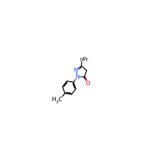 CCCC1=NN(c2ccc(C)cc2)C(=O)C1